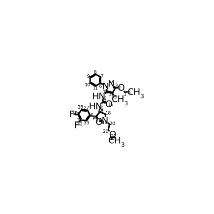 CCOc1nn(-c2ccccc2)c(NC(=O)N[C@@H]2CN(CCOC)O[C@H]2c2ccc(F)c(F)c2)c1C